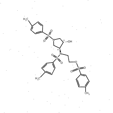 Cc1ccc(S(=O)(=O)OCCN([C@H]2CN(S(=O)(=O)c3ccc(C)cc3)C[C@@H]2O)S(=O)(=O)c2ccc(C)cc2)cc1